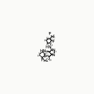 Fc1c(CNc2ncnc3/c2=C\NC2CCC(F)(CCC/C=3Br)CC2)cccc1C(F)F